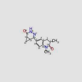 CC1Cc2cc(C3=NNC(=O)C4CC34)ccc2N(C)C1=O